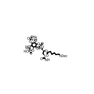 CCCCCCCCCCCCCCCC(=O)O[C@@H](COP(=O)(O)OC1C(O)[C@@H](OP(=O)(O)O)C(O)[C@@H](OP(=O)(O)O)[C@H]1O)CSC(=O)CCC